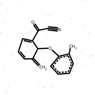 C=C1C=CC=C(C(=O)C#N)C1Oc1ccccc1C